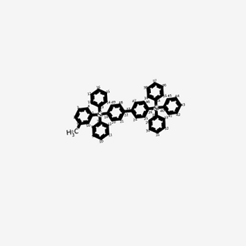 Cc1cccc([Si](c2ccccc2)(c2ccccc2)c2ccc(-c3ccc([Si](c4ccccc4)(c4ccccc4)c4ccccc4)cc3)cc2)c1